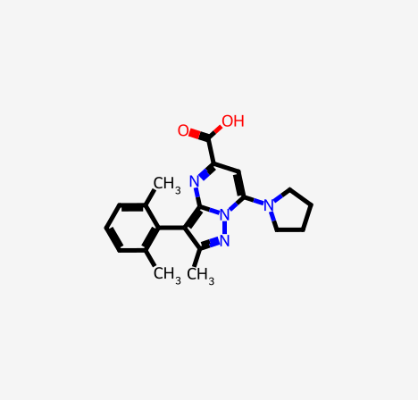 Cc1cccc(C)c1-c1c(C)nn2c(N3CCCC3)cc(C(=O)O)nc12